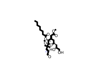 CCCCCCCC(=O)O[C@H]1C(=CC(=O)OC)C[C@@H](C[C@@H](O)CO)O[C@@]1(OC)C(C)(C)/C=C/C=O